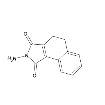 NN1C(=O)C2=C(C1=O)c1ccccc1CC2